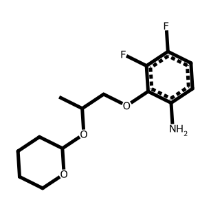 CC(COc1c(N)ccc(F)c1F)OC1CCCCO1